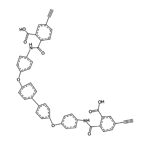 C#Cc1ccc(C(=O)Nc2ccc(Oc3ccc(-c4ccc(Oc5ccc(NC(=O)c6ccc(C#C)cc6C(=O)O)cc5)cc4)cc3)cc2)c(C(=O)O)c1